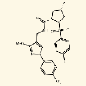 COc1nn(-c2ccc(C(F)(F)F)cc2)cc1CNC(=O)[C@@H]1C[C@H](C)CN1S(=O)(=O)c1ccc(F)cc1